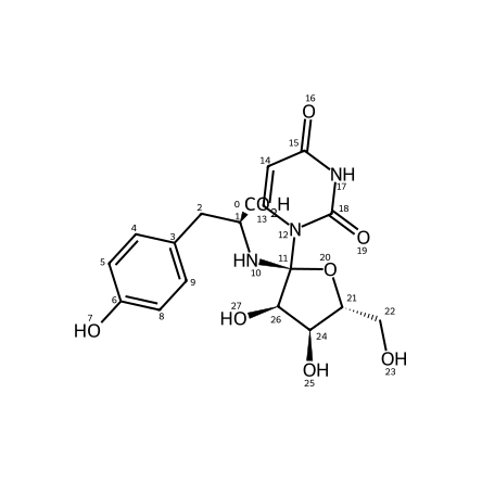 O=C(O)[C@H](Cc1ccc(O)cc1)N[C@@]1(n2ccc(=O)[nH]c2=O)O[C@H](CO)[C@@H](O)[C@H]1O